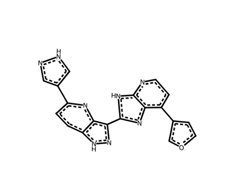 c1cc(-c2ccoc2)c2nc(-c3n[nH]c4ccc(-c5cn[nH]c5)nc34)[nH]c2n1